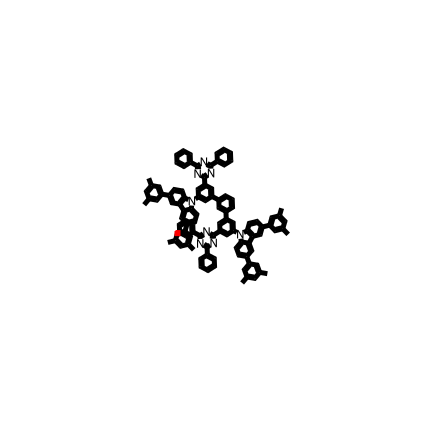 Cc1cc(C)cc(-c2ccc3c(c2)c2cc(-c4cc(C)cc(C)c4)ccc2n3-c2cc(-c3cccc(-c4cc(-c5nc(-c6ccccc6)nc(-c6ccccc6)n5)cc(-n5c6ccc(-c7cc(C)cc(C)c7)cc6c6cc(-c7cc(C)cc(C)c7)ccc65)c4)c3)cc(-c3nc(-c4ccccc4)nc(-c4ccccc4)n3)c2)c1